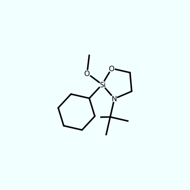 CO[Si]1(C2CCCCC2)OCCN1C(C)(C)C